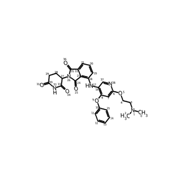 CN(C)CCOc1cc(Oc2ccccc2)c(Nc2cccc3c2C(=O)N(C2CCC(=O)NC2=O)C3=O)cn1